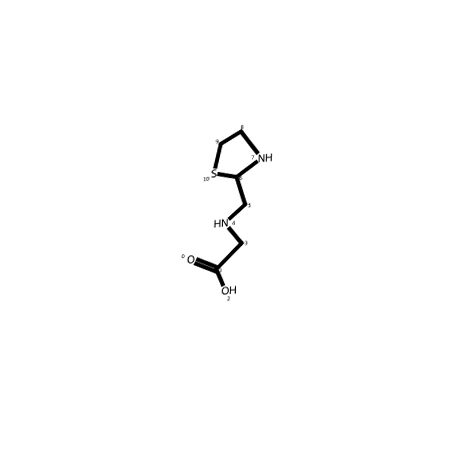 O=C(O)CNCC1NCCS1